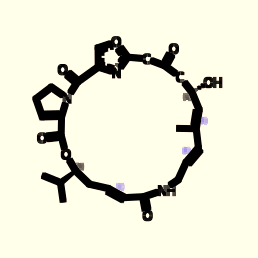 CC1=C\[C@@H](O)CC(=O)Cc2nc(co2)C(=O)N2CCC=C2C(=O)O[C@H](C(C)C)C/C=C/C(=O)NC\C=C\1